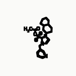 CC(=O)OS(=O)(=O)C1N(Cc2cccnc2)C=CN1C1CCC2CCCCC2C1